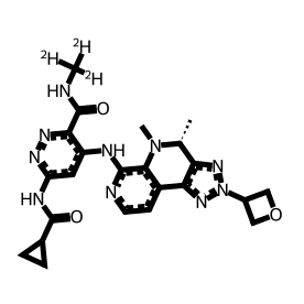 [2H]C([2H])([2H])NC(=O)c1nnc(NC(=O)C2CC2)cc1Nc1nccc2c1N(C)[C@H](C)c1nn(C3COC3)nc1-2